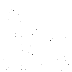 CC[CH2][Ca][CH3]